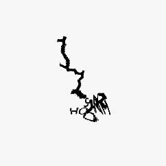 CC(=CCSCC(Nc1ncccc1C)C(=O)O)CCCC(C)CCCC(C)CCCC(C)C